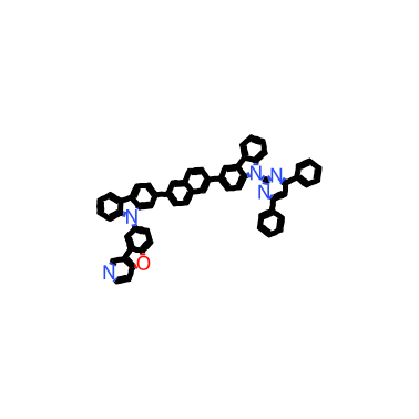 c1ccc(-c2cc(-c3ccccc3)nc(-n3c4ccccc4c4cc(-c5ccc6cc(-c7ccc8c9ccccc9n(-c9ccc%10oc%11ccncc%11c%10c9)c8c7)ccc6c5)ccc43)n2)cc1